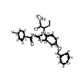 CCC(C(=O)O)n1c(=NC(=O)c2ccc(C)cc2)sc2cc(OCc3ccccc3)ccc21